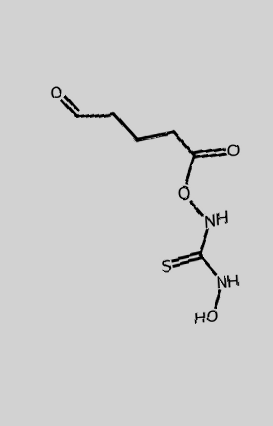 O=CCCCC(=O)ONC(=S)NO